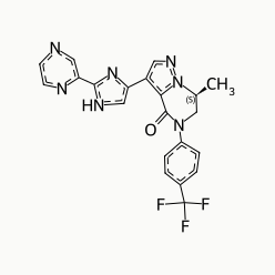 C[C@H]1CN(c2ccc(C(F)(F)F)cc2)C(=O)c2c(-c3c[nH]c(-c4cnccn4)n3)cnn21